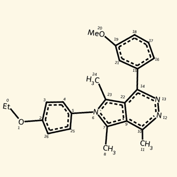 CCOc1ccc(-n2c(C)c3c(C)nnc(-c4cccc(OC)c4)c3c2C)cc1